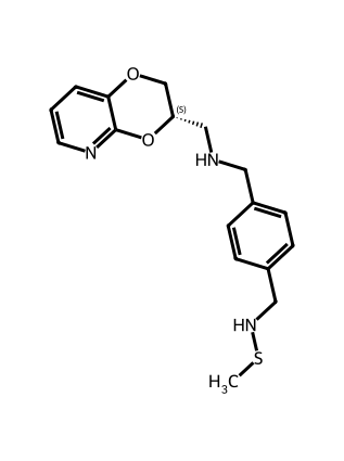 CSNCc1ccc(CNC[C@H]2COc3cccnc3O2)cc1